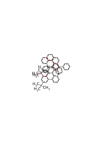 CC1C=C(N(c2ccc(-c3ccccc3)cc2-c2ccccc2)c2ccccc2-c2cccc3c4ccccc4n(-c4ccccc4)c23)C(c2cccc3cccc(-c4cc(C(C)(C)C)cc(C(C)(C)C)c4)c23)=CC1